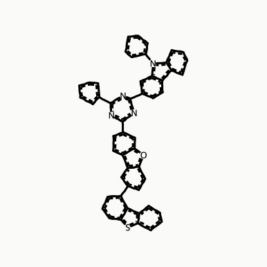 c1ccc(-c2nc(-c3ccc4c(c3)oc3ccc(-c5cccc6sc7ccccc7c56)cc34)nc(-c3ccc4c5ccccc5n(-c5ccccc5)c4c3)n2)cc1